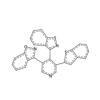 [c]1ncc(-c2noc3ccccc23)c(-c2nsc3ccccc23)c1-c1cc2ccccc2s1